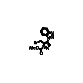 COC(=O)n1ncc(-n2nnc3ccccc32)c1CBr